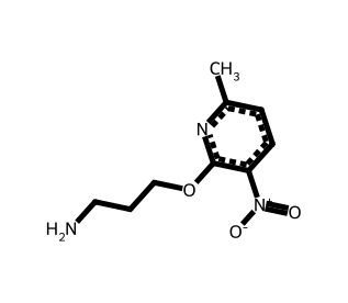 Cc1ccc([N+](=O)[O-])c(OCCCN)n1